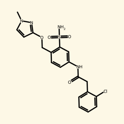 Cn1ccc(OCc2ccc(NC(=O)Cc3ccccc3Cl)cc2S(N)(=O)=O)n1